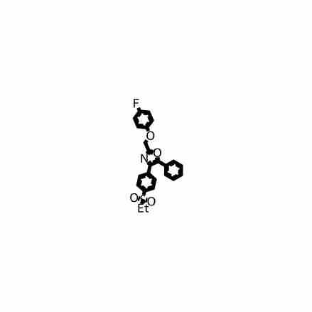 CCS(=O)(=O)c1ccc(-c2nc(COc3ccc(F)cc3)oc2-c2ccccc2)cc1